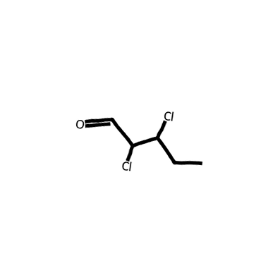 CCC(Cl)C(Cl)C=O